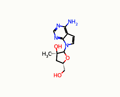 C[C@@]1(O)C[C@@H](CO)OC1n1ccc2c(N)ncnc21